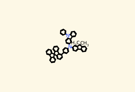 CC1(C)c2ccccc2-c2ccc(N(c3ccc(-c4cccc5c4-c4ccccc4C54c5ccccc5-c5ccccc54)cc3)c3ccc4c(c3)c3ccccc3n4-c3ccccc3)cc21